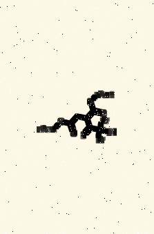 CCCCCOC(=O)CC(C(=O)OCCCCC)C(=S)[N+](S)(C(C)C)C(C)C